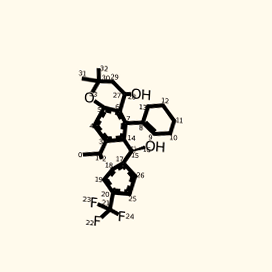 CC(C)c1cc2c(c(C3=CCCCC3)c1[C@@H](O)c1ccc(C(F)(F)F)cc1)C(O)CC(C)(C)O2